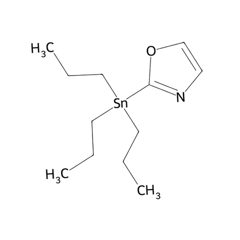 CC[CH2][Sn]([CH2]CC)([CH2]CC)[c]1ncco1